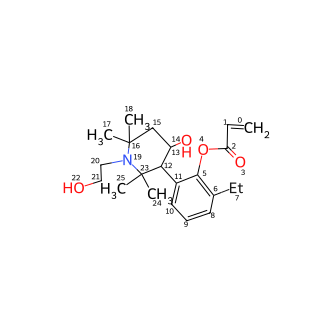 C=CC(=O)Oc1c(CC)cccc1C1C(O)CC(C)(C)N(CCO)C1(C)C